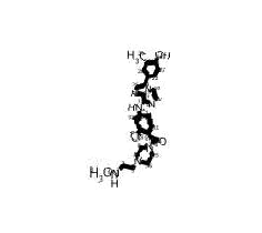 CNCCN1CCN(C(=O)c2ccc(Nc3nccn4c(-c5ccc(O)c(C)c5)cnc34)cc2Cl)CC1